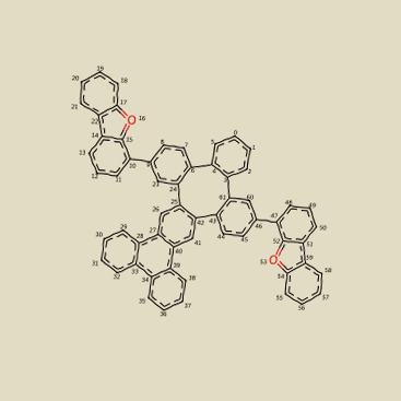 c1ccc2c(c1)-c1ccc(-c3cccc4c3oc3ccccc34)cc1-c1cc3c4ccccc4c4ccccc4c3cc1-c1ccc(-c3cccc4c3oc3ccccc34)cc1-2